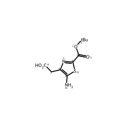 CC(C)(C)OC(=O)c1nc(CC(=O)O)c(N)s1